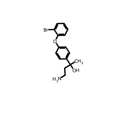 CC(O)(CCN)c1ccc(Oc2ccccc2Br)cc1